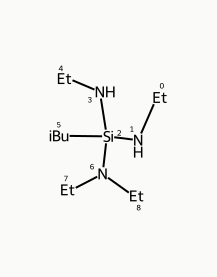 CCN[Si](NCC)(C(C)CC)N(CC)CC